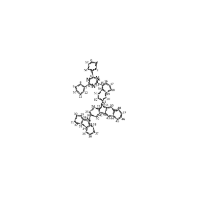 c1ccc(-c2nc(-c3ccccc3)nc(-c3cccc4cc(-n5c6ccc(-n7c8ccccc8c8ccccc87)cc6c6cc7ccccc7cc65)ccc34)n2)cc1